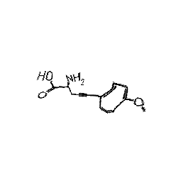 COc1ccc(C#CC[C@H](N)C(=O)O)cc1